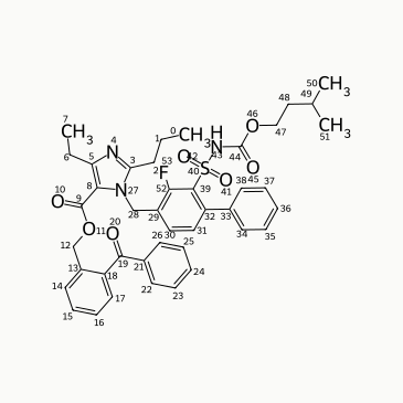 CCCc1nc(CC)c(C(=O)OCc2ccccc2C(=O)c2ccccc2)n1Cc1ccc(-c2ccccc2)c(S(=O)(=O)NC(=O)OCCC(C)C)c1F